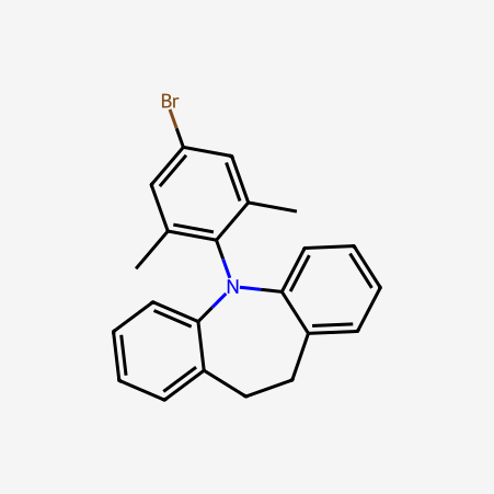 Cc1cc(Br)cc(C)c1N1c2ccccc2CCc2ccccc21